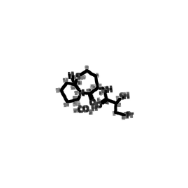 CC(C)CC(S)C(=O)N[C@H]1CCS[C@H]2CCC[C@@H](C(=O)O)N2C1=O